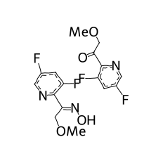 COCC(=NO)c1ncc(F)cc1F.COCC(=O)c1ncc(F)cc1F